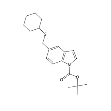 CC(C)(C)OC(=O)n1ccc2cc(CSC3CCCCC3)ccc21